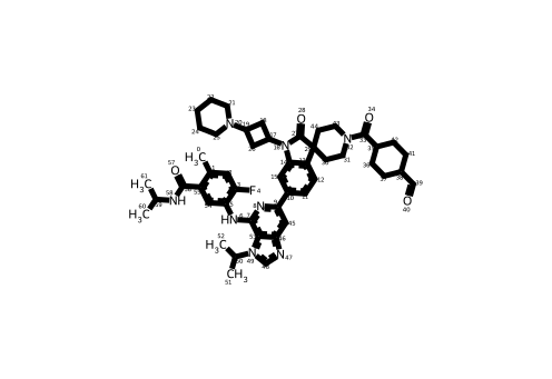 Cc1cc(F)c(Nc2nc(-c3ccc4c(c3)N(C3CC(N5CCCCC5)C3)C(=O)C43CCN(C(=O)C4CCC(C=O)CC4)CC3)cc3ncn(C(C)C)c23)cc1C(=O)NC(C)C